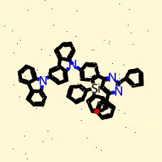 c1ccc(-c2nc(-c3ccccc3)c3c(n2)-c2ccc(-n4c5ccccc5c5cc(-n6c7ccccc7c7ccccc76)ccc54)cc2[Si]3(c2ccccc2)c2ccccc2)cc1